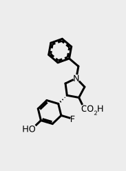 O=C(O)C1CN(Cc2ccccc2)C[C@H]1C1C=CC(O)=CC1F